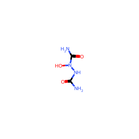 NC(=O)NN(O)C(N)=O